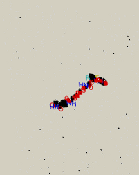 O=C(COc1c(F)ccc2sc(N3C4CCC3COC4)nc12)NCCOCCOCCOCCC(=O)Nc1ccc(C2CCC(=O)NC2=O)cc1